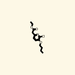 CCCCOc1ccc(CC(=O)OCC)nc1Cl